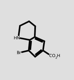 O=C(O)c1cc(Br)c2c(c1)CCCN2